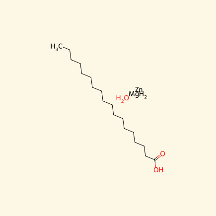 CCCCCCCCCCCCCCCCCC(=O)O.O.[MgH2].[Zn]